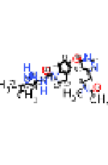 CC(=O)N(C)CCc1cc(Oc2ccc3c(c2)CCN3C(=O)Nc2cc(C(C)C)[nH]n2)ncn1